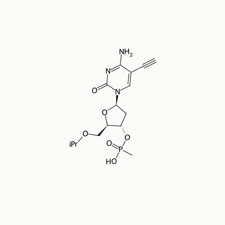 C#Cc1cn([C@H]2C[C@H](OP(C)(=O)O)[C@@H](COC(C)C)O2)c(=O)nc1N